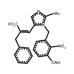 CCCCc1ncc(C=C(Cc2ccccc2)C(=O)O)n1Cc1cccc(OC)c1[N+](=O)[O-]